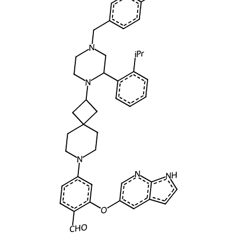 CC(C)c1ccccc1C1CN(Cc2ccc(F)cc2)CCN1C1CC2(CCN(c3ccc(C=O)c(Oc4cnc5[nH]ccc5c4)c3)CC2)C1